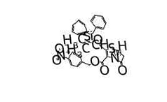 CC(C)(C)[Si](OCC1=C(C(=O)OCc2ccc([N+](=O)[O-])cc2)N2C(=O)C[C@@H]2S1)(c1ccccc1)c1ccccc1